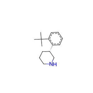 CC(C)(C)c1ccccc1[C@H]1CCCNC1